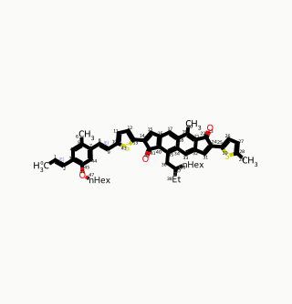 C/C=C/c1cc(C)c(/C=C/c2ccc(-c3cc4cc5c(C)c6c(=O)c(-c7ccc(C)s7)cc6cc5c(CC(CC)CCCCCC)c4c3=O)s2)cc1OCCCCCC